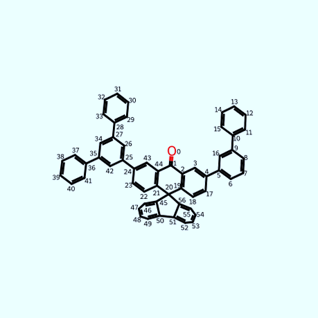 O=C1c2cc(-c3cccc(-c4ccccc4)c3)ccc2C2(c3ccc(-c4cc(-c5ccccc5)cc(-c5ccccc5)c4)cc31)c1ccccc1-c1ccccc12